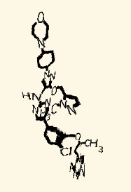 C[C@@H](Cn1cnnn1)Oc1cc(-c2cnc(Nc3cn(C4CCC(N5CCOCC5)CC4)nc3OCc3ccnn3C)nc2)ccc1Cl